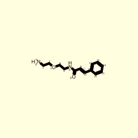 NCCOCCNC(=O)/C=C/c1ccccc1